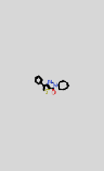 O=c1c2scc(-c3ccccc3)c2ncn1C1=CC=CC=CC=C1